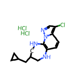 Cl.Cl.Clc1cnn2c3c(ccc12)NCC(CC1CC1)CN3